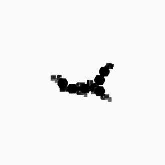 CCCC(c1ccc(C(C)(C)c2ccc(Nc3ccc(C)cc3)cc2)cc1)C(CC)N(c1ccc(C)cc1)c1ccc(-c2ccc(C(C)C)cc2)cc1